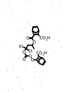 CCC(CC)(CC(C)OC(=O)C1C2C=CC(C2)C1C(=O)O)OC(=O)OOC1C2C=CC(C2)C1C(=O)O